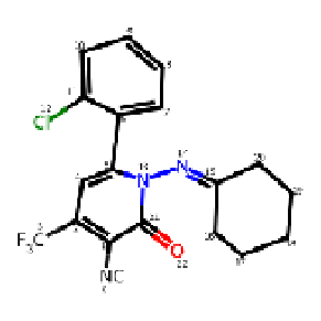 [C-]#[N+]c1c(C(F)(F)F)cc(-c2ccccc2Cl)n(N=C2CCCCC2)c1=O